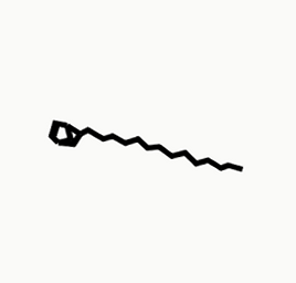 CCCCCCCCCCCCCCC1CC2C=CC1C2